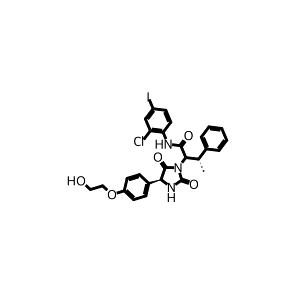 C[C@@H](c1ccccc1)C(C(=O)Nc1ccc(I)cc1Cl)N1C(=O)N[C@@H](c2ccc(OCCO)cc2)C1=O